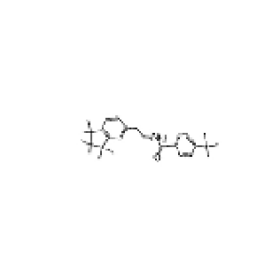 CC(C)(C)c1ccc(C(=O)NCCc2ccc3c(c2)C(C)(C)C(C)(C)C3(C)C)cc1